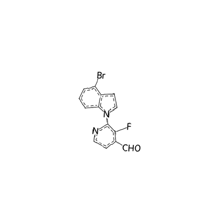 O=Cc1ccnc(-n2ccc3c(Br)cccc32)c1F